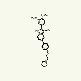 COc1ccc(-c2[nH]c3ccc(-c4ccc(OCCN5CCCC5)cc4)cc3c2C(C)C)cc1OC